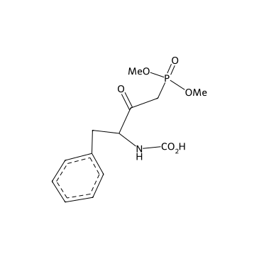 COP(=O)(CC(=O)C(Cc1ccccc1)NC(=O)O)OC